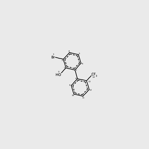 Oc1c(Br)cccc1-c1ccccc1C(F)(F)F